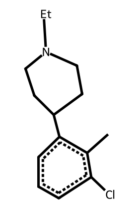 CCN1CCC(c2cccc(Cl)c2C)CC1